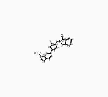 Cn1cnc2ccc(-c3ccc(CN4Cc5ncccc5C4=O)c(F)c3)cc21